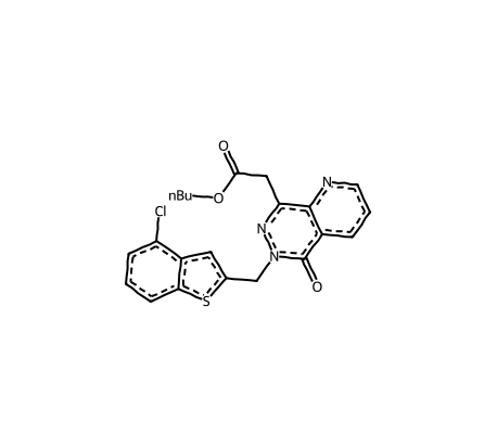 CCCCOC(=O)Cc1nn(Cc2cc3c(Cl)cccc3s2)c(=O)c2cccnc12